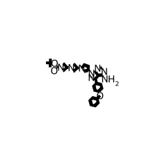 CC(C)(C)OC(=O)N1CC(N2CC(n3ccc(-n4nc(-c5ccc(Oc6ccccc6)cc5)c5c(N)ncnc54)c3)C2)C1